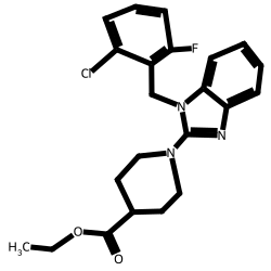 CCOC(=O)C1CCN(c2nc3ccccc3n2Cc2c(F)cccc2Cl)CC1